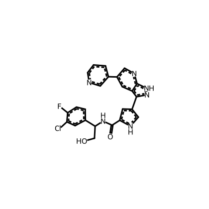 O=C(NC(CO)c1ccc(F)c(Cl)c1)c1cc(-c2n[nH]c3ncc(-c4cccnc4)cc23)c[nH]1